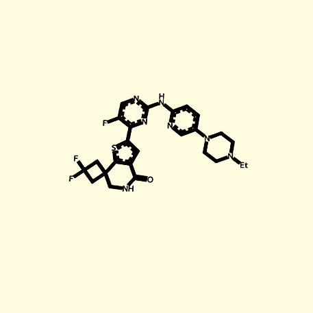 CCN1CCN(c2ccc(Nc3ncc(F)c(-c4cc5c(s4)C4(CNC5=O)CC(F)(F)C4)n3)nc2)CC1